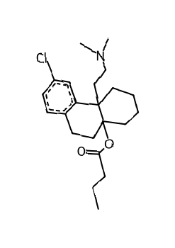 CCCC(=O)OC12CCCCC1(CCN(C)C)c1cc(Cl)ccc1CC2